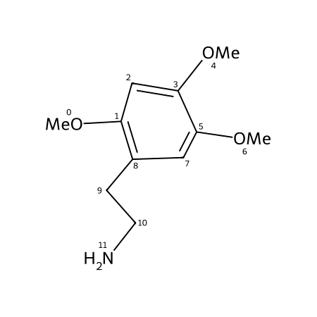 COc1cc(OC)c(OC)cc1CCN